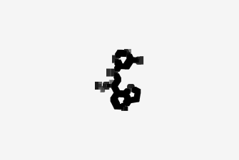 C[C@H](CNc1cc(Cl)ncn1)c1ccnc2c1OCC2